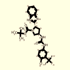 CC(C)(C)OC(=O)N1C[C@H](NC(=O)Nc2ccc(Cl)c(C(F)(F)F)c2)C[C@H]1c1nc2ccccc2[nH]1